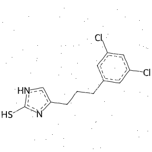 Sc1nc(CCCc2cc(Cl)cc(Cl)c2)c[nH]1